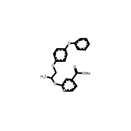 COC(=O)c1ccnc(OC(C)COc2ccc(Oc3ccccc3)cc2)c1